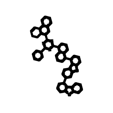 C1=Cc2c(c(-c3nc(-c4ccccc4)nc(-c4cccc5c(-c6cccc7oc8cc(-c9cccc%10oc%11ccccc%11c9%10)ccc8c67)cccc45)n3)cc3ccccc23)CC1